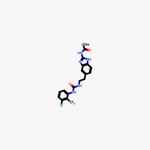 COC(=O)Nc1nc2cc(CCNC(=O)Nc3cccc(Cl)c3C(F)(F)F)ccc2[nH]1